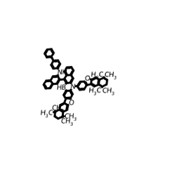 CC1(C)CCC(C)(C)c2cc3c(cc21)oc1cc(N2c4cc5oc6cc7c(cc6c5cc4Bc4c2cc2ccccc2c4-c2cc4ccccc4cc2Nc2ccc(-c4ccccc4)cc2)C(C)(C)CCC7(C)C)ccc13